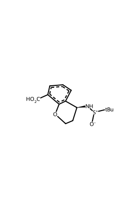 CC(C)(C)[S+]([O-])N[C@H]1CCOc2c(C(=O)O)cccc21